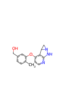 Cc1ccc(CO)cc1Oc1ccnc2c1C1CN1N2